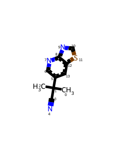 CC(C)(C#N)c1cnc2ncsc2c1